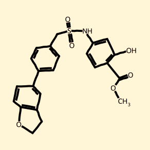 COC(=O)c1ccc(NS(=O)(=O)Cc2ccc(-c3ccc4c(c3)CCO4)cc2)cc1O